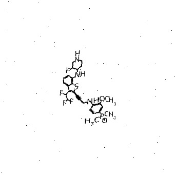 COc1cc(P(C)(C)=O)ccc1NCC#Cc1sc2c(NC3CCNCC3F)cccc2c1C(F)C(F)F